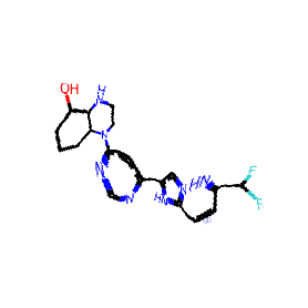 N=C(/C=C\c1ncc(-c2cc(N3CCNC4C(O)CCCC43)ncn2)[nH]1)C(F)F